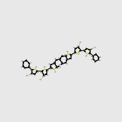 Fc1cc(-c2sc(-c3cc4cc5cc6sc(-c7cc(F)c(-c8cc(F)c(-c9ccccc9)s8)s7)cc6cc5cc4s3)cc2F)sc1-c1ccccc1